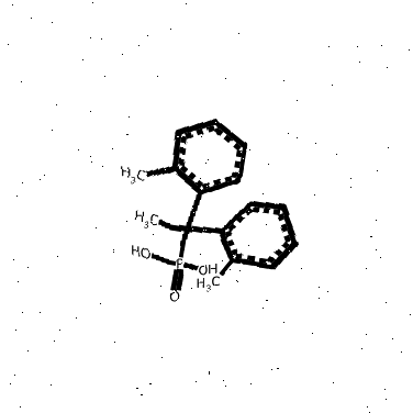 Cc1ccccc1C(C)(c1ccccc1C)P(=O)(O)O